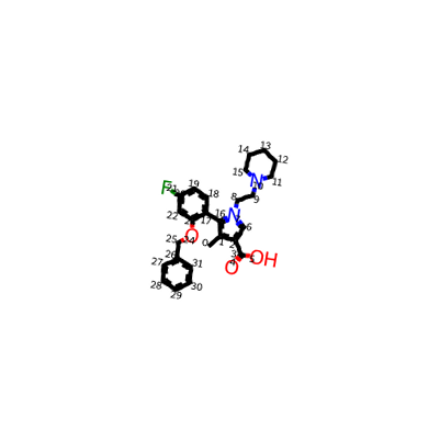 Cc1c(C(=O)O)cn(CCN2CCCCC2)c1-c1ccc(F)cc1OCc1ccccc1